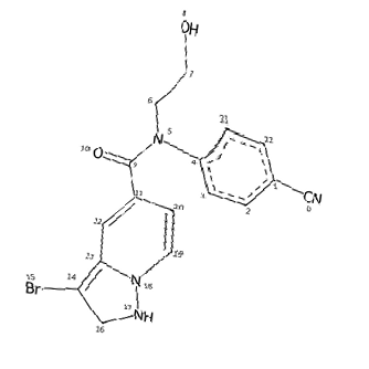 N#Cc1ccc(N(CCO)C(=O)C2=CC3=C(Br)CNN3C=C2)cc1